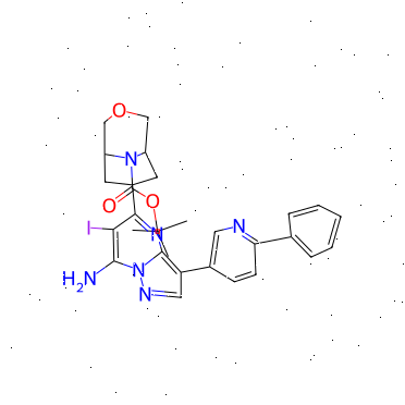 CC(C)(C)OC(=O)N1C2COCC1CC(c1nc3c(-c4ccc(-c5ccccc5)nc4)cnn3c(N)c1I)C2